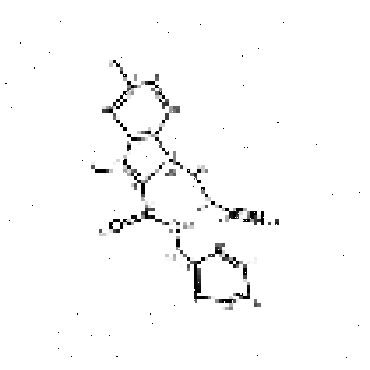 Cc1ccc2c(c1)c(C)c(C(=O)OCc1ccccc1)n2CCC#N